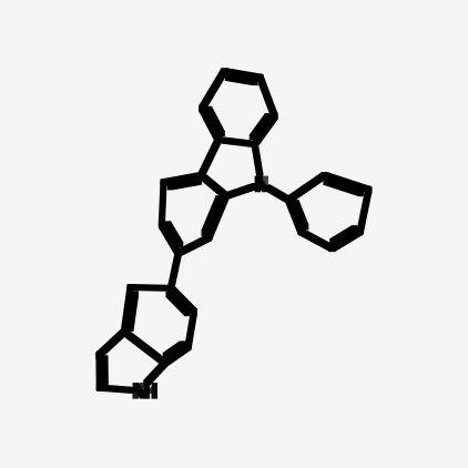 c1ccc(-n2c3ccccc3c3ccc(-c4ccc5[nH]ccc5c4)cc32)cc1